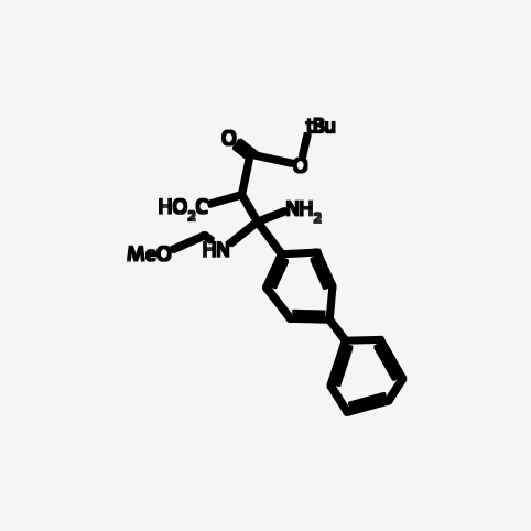 COCNC(N)(c1ccc(-c2ccccc2)cc1)C(C(=O)O)C(=O)OC(C)(C)C